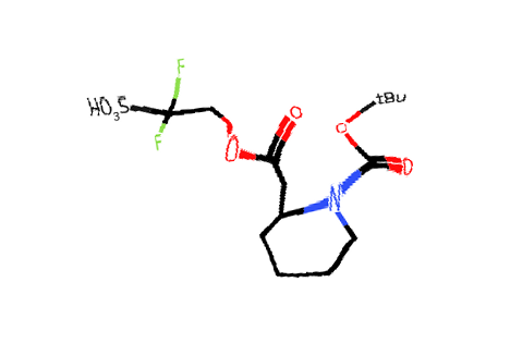 CC(C)(C)OC(=O)N1CCCCC1C(=O)OCC(F)(F)S(=O)(=O)O